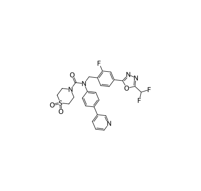 O=C(N1CCS(=O)(=O)CC1)N(Cc1ccc(-c2nnc(C(F)F)o2)cc1F)c1ccc(-c2cccnc2)cc1